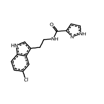 O=C(NCCc1c[nH]c2ccc(Cl)cc12)c1cc[nH]n1